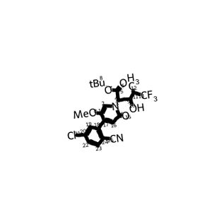 COc1cn(C(C(=O)OC(C)(C)C)C(O)C(C)C(F)(F)F)c(=O)cc1-c1cc(Cl)ccc1C#N